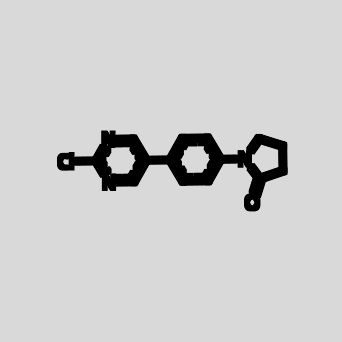 O=C1CCCN1c1ccc(-c2cnc(Cl)nc2)cc1